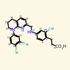 O=C(O)CCc1ccc(NCc2ccc3c(n2)N(c2ccc(F)c(F)c2)CCC3)cc1F